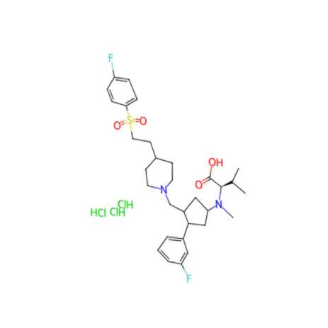 CC(C)[C@H](C(=O)O)N(C)C1CC(CN2CCC(CCS(=O)(=O)c3ccc(F)cc3)CC2)C(c2cccc(F)c2)C1.Cl.Cl.Cl